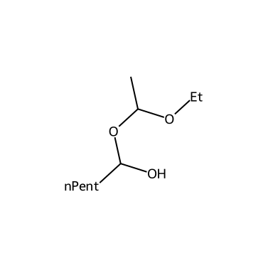 CCCCCC(O)OC(C)OCC